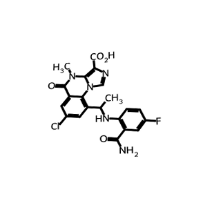 CC(Nc1ccc(F)cc1C(N)=O)c1cc(Cl)cc2c(=O)n(C)c3c(C(=O)O)ncn3c12